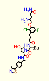 Cc1ncsc1-c1ccc(C(C)NC(=O)[C@@H]2C[C@@H](O)CN2C(=O)C(NC(=O)CCCc2cc(F)cc(OCC(N)CCC(N)=O)c2Cl)C(C)(C)C)cc1